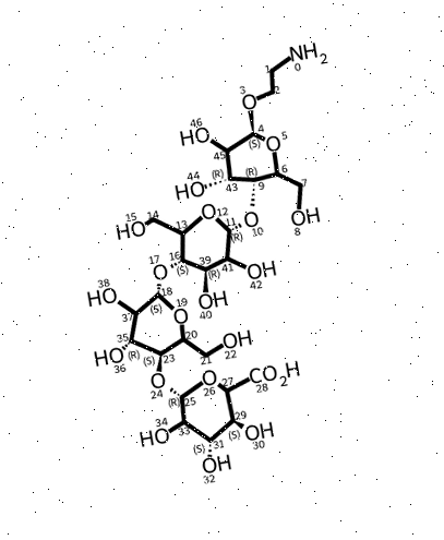 NCCO[C@H]1OC(CO)[C@H](O[C@H]2OC(CO)[C@@H](O[C@@H]3OC(CO)[C@@H](O[C@@H]4OC(C(=O)O)[C@@H](O)[C@H](O)C4O)[C@H](O)C3O)[C@H](O)C2O)[C@H](O)C1O